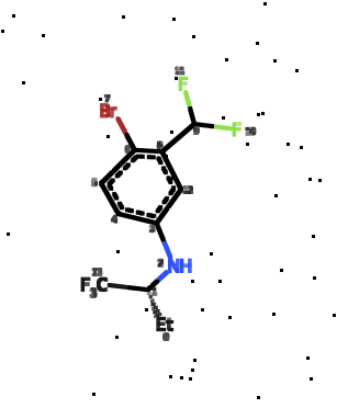 CC[C@@H](Nc1ccc(Br)c(C(F)F)c1)C(F)(F)F